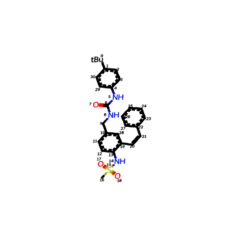 CC(C)(C)c1ccc(NC(=O)NCc2ccc(NS(C)(=O)=O)c(/C=C\c3ccccc3)c2)cc1